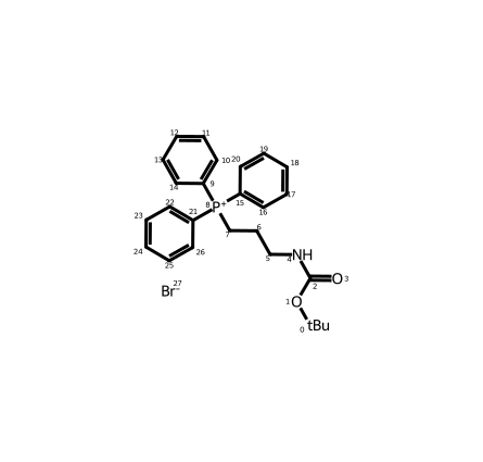 CC(C)(C)OC(=O)NCCC[P+](c1ccccc1)(c1ccccc1)c1ccccc1.[Br-]